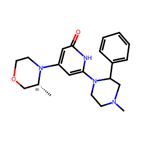 C[C@@H]1COCCN1c1cc(N2CCN(C)CC2c2ccccc2)[nH]c(=O)c1